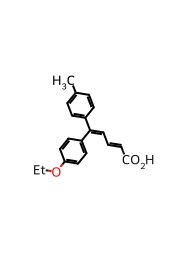 CCOc1ccc(/C(=C\C=C\C(=O)O)c2ccc(C)cc2)cc1